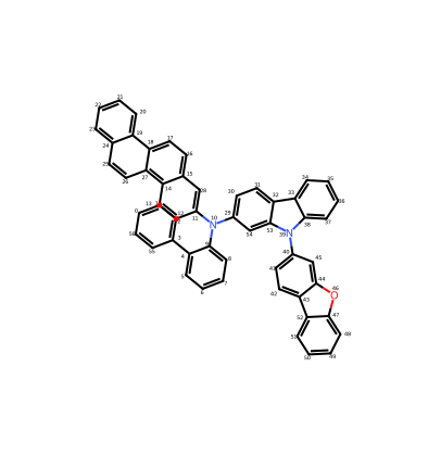 c1ccc(-c2ccccc2N(c2ccc3c(ccc4c5ccccc5ccc34)c2)c2ccc3c4ccccc4n(-c4ccc5c(c4)oc4ccccc45)c3c2)cc1